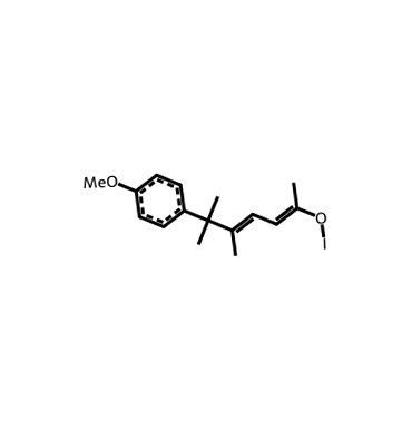 COc1ccc(C(C)(C)/C(C)=C/C=C(\C)OI)cc1